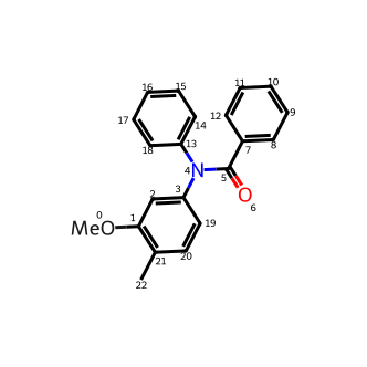 COc1cc(N(C(=O)c2ccccc2)c2ccccc2)ccc1C